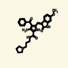 COc1ccc2c(c1)NC(=O)/C2=C\c1[nH]c(C(=O)NCCCN2CCCC2)c(C)c1C(=O)c1ccccc1